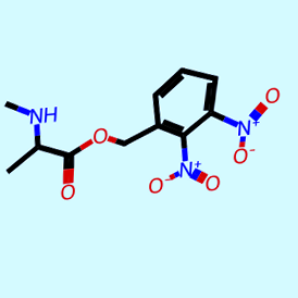 CNC(C)C(=O)OCc1cccc([N+](=O)[O-])c1[N+](=O)[O-]